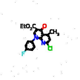 CCOC(=O)c1cn(-c2ccc(F)cc2)c2nc(Cl)cc(C)c2c1=O